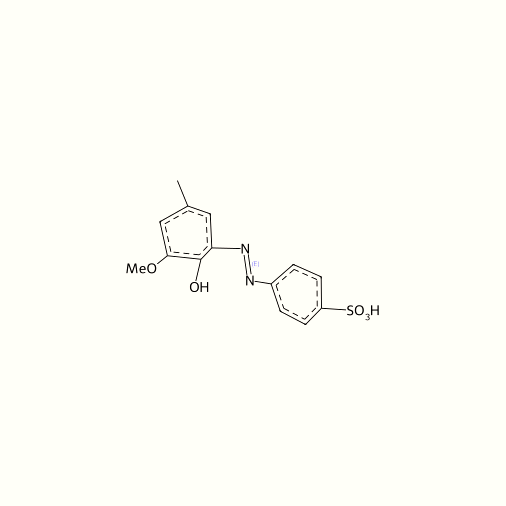 COc1cc(C)cc(/N=N/c2ccc(S(=O)(=O)O)cc2)c1O